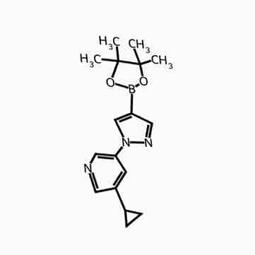 CC1(C)OB(c2cnn(-c3cncc(C4CC4)c3)c2)OC1(C)C